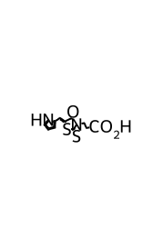 O=C(O)CCN1C(=O)C(=Cc2ccc[nH]2)SC1=S